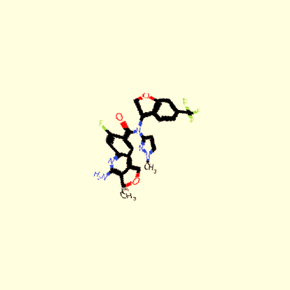 C[C@H]1OCc2c1c(N)nc1cc(F)c(C(=O)N(c3ccn(C)n3)C3COc4cc(C(F)(F)F)ccc43)cc21